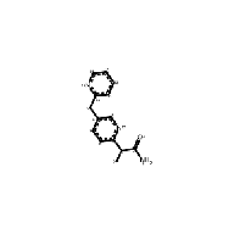 CC(C(N)=O)c1ccc(Cc2ccccn2)cn1